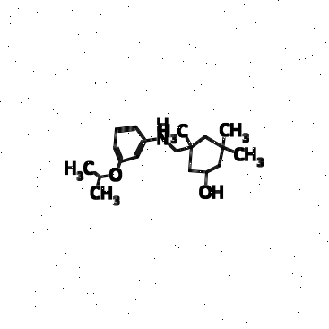 CC(C)Oc1cccc(NCC2(C)CC(O)CC(C)(C)C2)c1